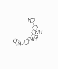 O=c1[nH]c2ccc(-c3cccnc3)cc2cc1-c1cc2cc(CN3CCOCC3)ccc2[nH]1